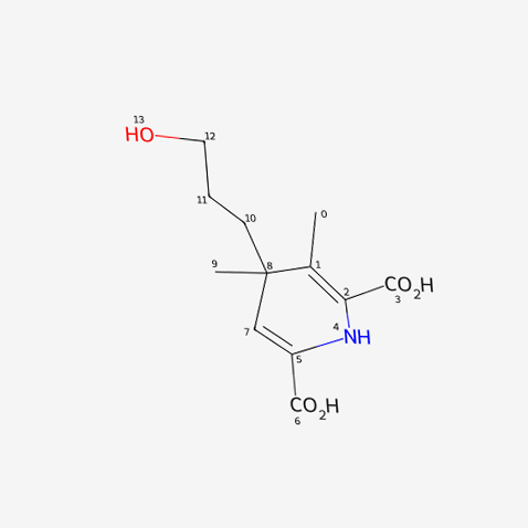 CC1=C(C(=O)O)NC(C(=O)O)=CC1(C)CCCO